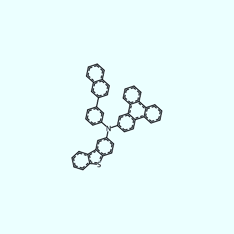 c1cc(-c2ccc3ccccc3c2)cc(N(c2ccc3sc4ccccc4c3c2)c2ccc3c4ccccc4c4ccccc4c3c2)c1